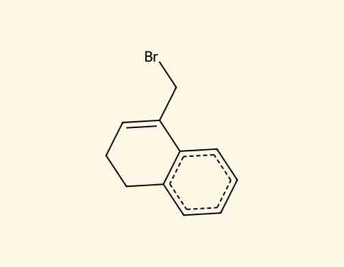 BrCC1=CCCc2ccccc21